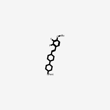 CCCCCC1CCC(C2CCC(/C=C/c3ccc(OCCCC)c(F)c3F)CC2)CC1